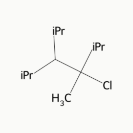 CC(C)C(C(C)C)C(C)(Cl)C(C)C